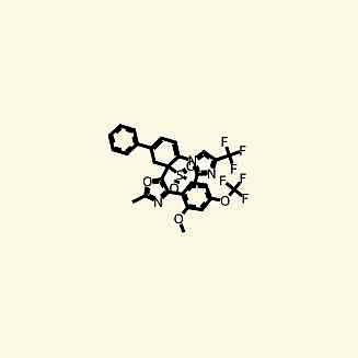 COc1cc(OC(F)(F)F)ccc1-c1nc(C)oc1C1(S(C)(=O)=O)CC(c2ccccc2)=CC=C1n1cc(C(F)(F)F)nc1C